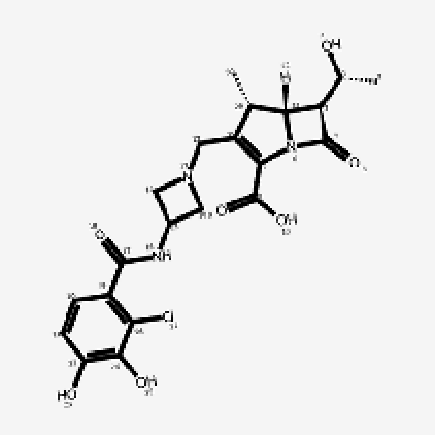 C[C@@H](O)[C@H]1C(=O)N2C(C(=O)O)=C(CN3CC(NC(=O)c4ccc(O)c(O)c4Cl)C3)[C@H](C)[C@H]12